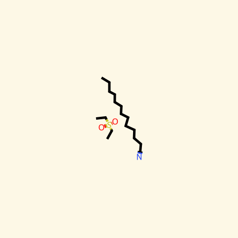 CCCCCCCCCCCCC#N.CCS(=O)(=O)CC